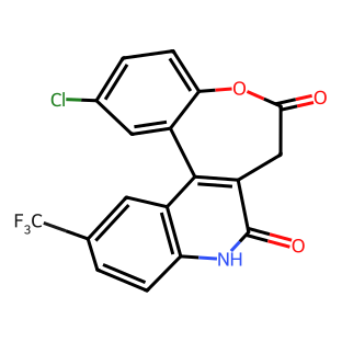 O=C1Cc2c(c3cc(C(F)(F)F)ccc3[nH]c2=O)-c2cc(Cl)ccc2O1